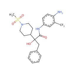 CS(=O)(=O)N1CCC(C(O)(Cc2ccccc2)C(=O)Nc2ccc(N)c(C(F)(F)F)c2)CC1